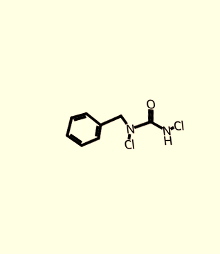 O=C(NCl)N(Cl)Cc1ccccc1